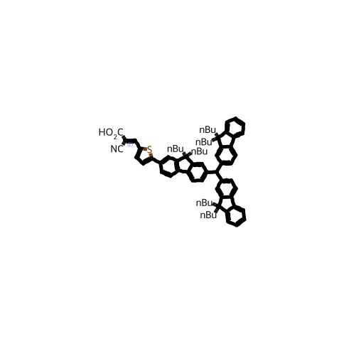 CCCCC1(CCCC)c2ccccc2-c2ccc(C(c3ccc4c(c3)C(CCCC)(CCCC)c3ccccc3-4)c3ccc4c(c3)C(CCCC)(CCCC)c3cc(-c5ccc(/C=C(\C#N)C(=O)O)s5)ccc3-4)cc21